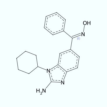 Nc1nc2ccc(/C(=N/O)c3ccccc3)cc2n1C1CCCCC1